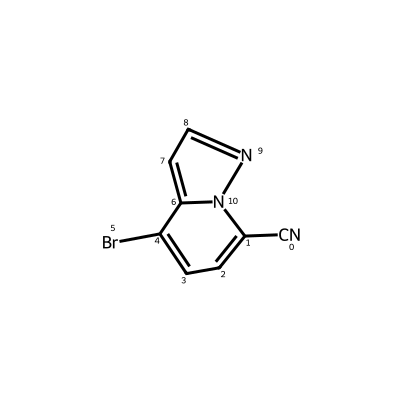 N#Cc1ccc(Br)c2ccnn12